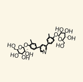 Cc1cc(-c2cncc(-c3ccc(O[C@H]4O[C@H](CO)[C@@H](O)[C@H](O)[C@]4(C)O)c(C)c3)c2)ccc1O[C@H]1O[C@H](CO)C(O)[C@H](O)[C@]1(C)O